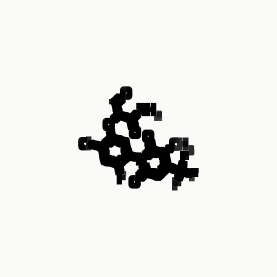 Cn1c(C(F)(F)F)cc(=O)n(-c2cc(OC([C]=O)C(N)=O)c(Cl)cc2F)c1=O